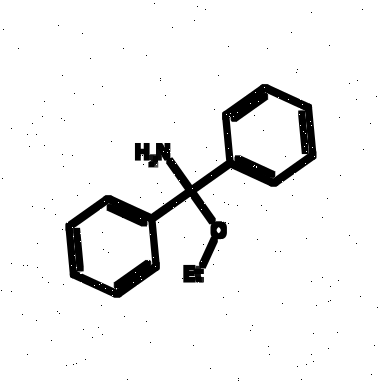 CCOC(N)(c1ccccc1)c1ccccc1